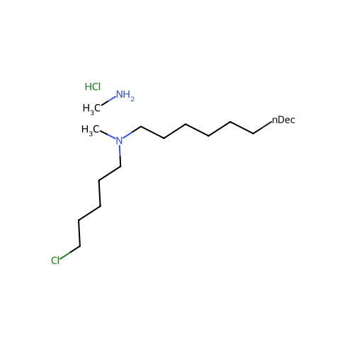 CCCCCCCCCCCCCCCCN(C)CCCCCCl.CN.Cl